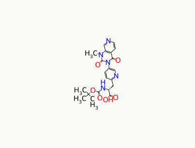 Cn1c(=O)n(-c2ccc(C[C@H](NC(=O)OC(C)(C)C)C(=O)O)nc2)c(=O)c2ccncc21